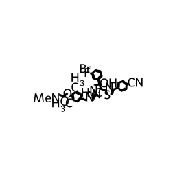 CNCC(=O)Oc1c(C)cc(C[n+]2cnn(C[C@](O)(c3cccc(F)c3)[C@@H](C)c3nc(-c4ccc(C#N)cc4)cs3)c2)cc1C.[Br-]